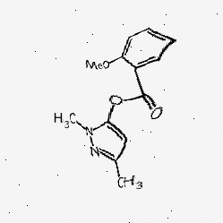 COc1ccccc1C(=O)Oc1cc(C)nn1C